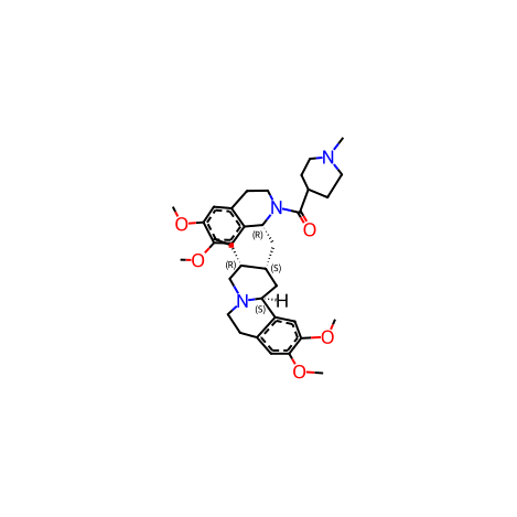 CC[C@H]1CN2CCc3cc(OC)c(OC)cc3[C@@H]2C[C@H]1C[C@@H]1c2cc(OC)c(OC)cc2CCN1C(=O)C1CCN(C)CC1